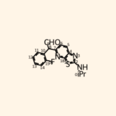 CC(C)Nc1nc2ccc(C(C=O)c3ccccc3F)nc2s1